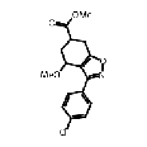 COC(=O)C1Cc2onc(-c3ccc(Cl)cc3)c2C(OC)C1